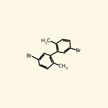 Cc1ccc(Br)cc1-c1cc(Br)ccc1C